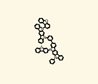 c1ccc(-n2c3ccccc3c3cc4c5ccc(-c6cccc(-n7c8ccccc8c8cc9c%10ccccc%10n(-c%10cccc%11oc%12ccccc%12c%10%11)c9cc87)c6)cc5n(-c5ccc6c(c5)sc5ccccc56)c4cc32)cc1